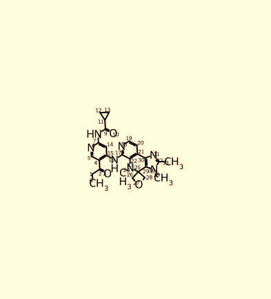 CCC(=O)c1cnc(NC(=O)C2CC2)cc1Nc1nccc2c1N(C)C1(COC1)c1c-2nc(C)n1C